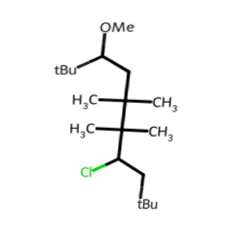 COC(CC(C)(C)C(C)(C)C(Cl)CC(C)(C)C)C(C)(C)C